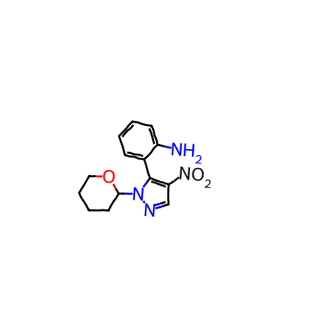 Nc1ccccc1-c1c([N+](=O)[O-])cnn1C1CCCCO1